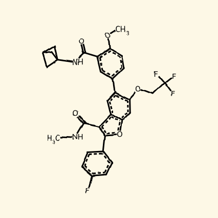 CNC(=O)c1c(-c2ccc(F)cc2)oc2cc(OCC(F)(F)F)c(-c3ccc(OC)c(C(=O)NC45CC(C4)C5)c3)cc12